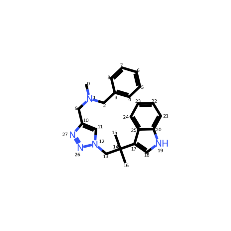 CN(Cc1ccccc1)Cc1cn(CC(C)(C)c2c[nH]c3ccccc23)nn1